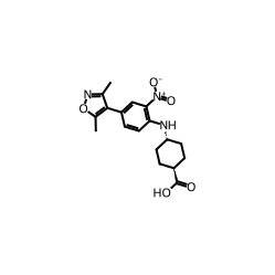 Cc1noc(C)c1-c1ccc(N[C@H]2CC[C@H](C(=O)O)CC2)c([N+](=O)[O-])c1